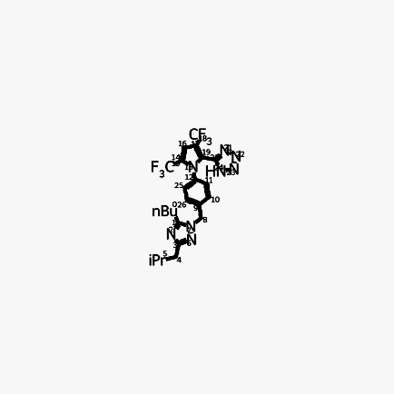 CCCCc1nc(CC(C)C)nn1Cc1ccc(-n2c(C(F)(F)F)cc(C(F)(F)F)c2-c2nnn[nH]2)cc1